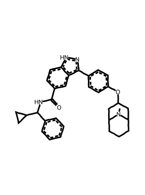 CN1C2CCCC1CC(Oc1ccc(-c3n[nH]c4ccc(C(=O)NC(c5ccccc5)C5CC5)cc34)cc1)C2